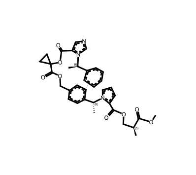 COC(=O)[C@@H](C)COC(=O)c1cccn1[C@H](C)c1ccc(COC(=O)C2(OC(=O)c3cncn3[C@H](C)c3ccccc3)CC2)cc1